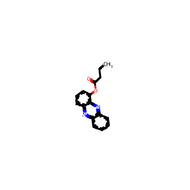 CCCC(=O)Oc1cccc2nc3ccccc3nc12